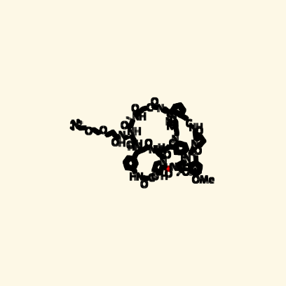 COc1ccc(C[C@@H]2NC(=O)[C@H]([C@@H](C)O)NC(=O)[C@@H]3[C@@H]4CCN3C(=O)[C@@H]3Cc5cn(c6ccc(F)cc56)Cc5cn(nn5)CCN(Cc5cccc(c5)CCNC(=O)[C@]5(C)CCCN5C2=O)C(=O)CCC(=O)N[C@@H](C)C(=O)N[C@H](CNC(=O)CCOCCOCC[N+](C)(C)C)C(=O)N[C@@H](Cc2cccc(c2)CNC(=O)CO4)C(=O)N3)cc1